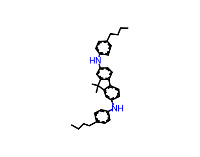 CCCCc1ccc(Nc2ccc3c(c2)C(C)(C)c2cc(Nc4ccc(CCCC)cc4)ccc2-3)cc1